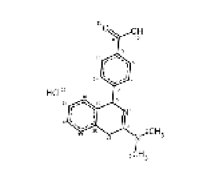 CN(C)C1=NC(c2ccc(C(=O)O)cc2)c2ccccc2C1.Cl